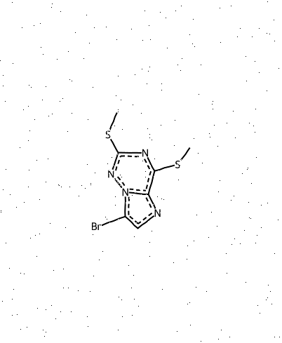 CSc1nc(SC)c2ncc(Br)n2n1